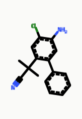 CC(C)(C#N)c1cc(Cl)c(N)cc1-c1ccccc1